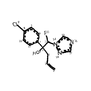 C=CCC(O)(c1ccc(Cl)cc1)C(F)n1cncn1